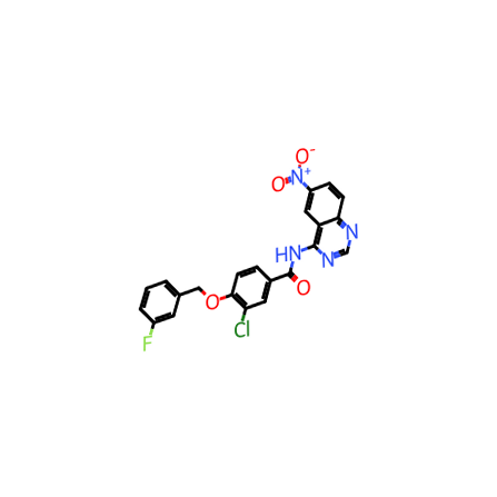 O=C(Nc1ncnc2ccc([N+](=O)[O-])cc12)c1ccc(OCc2cccc(F)c2)c(Cl)c1